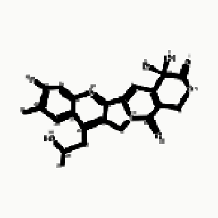 CC[C@@]1(O)C(=O)OCc2c1cc1n(c2=O)Cc2c-1nc1cc(F)c(C)cc1c2CC(C)O